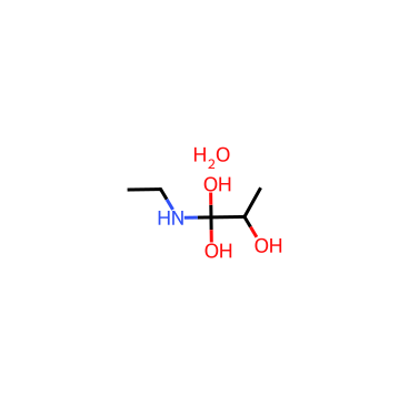 CCNC(O)(O)C(C)O.O